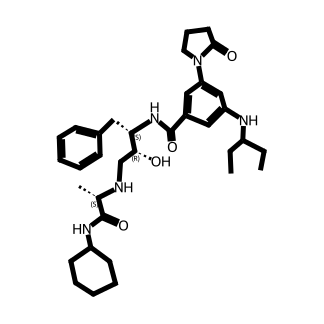 CCC(CC)Nc1cc(C(=O)N[C@@H](Cc2ccccc2)[C@H](O)CN[C@@H](C)C(=O)NC2CCCCC2)cc(N2CCCC2=O)c1